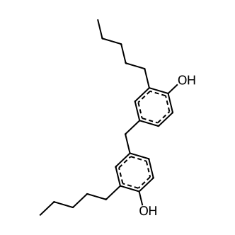 CCCCCc1cc(Cc2ccc(O)c(CCCCC)c2)ccc1O